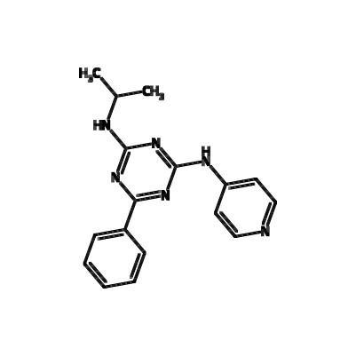 CC(C)Nc1nc(Nc2ccncc2)nc(-c2ccccc2)n1